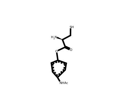 CC(=O)Nc1ccc(OC(=O)[C@@H](N)CS)cc1